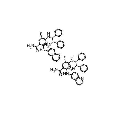 NC(=O)c1cc(F)c(N[C@@H](c2ccccc2)[C@H](N)c2ccccc2)nc1Nc1ccc2ncccc2c1.NC(=O)c1cc(F)c(N[C@H](c2ccccc2)[C@@H](N)c2ccccc2)nc1Nc1ccc2ncccc2c1